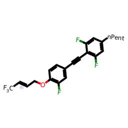 CCCCCc1cc(F)c(C#Cc2ccc(OC/C=C/C(F)(F)F)c(F)c2)c(F)c1